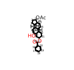 CC(=O)O[C@H]1CC[C@H]2[C@@H]3C=C[C@]4(O)C[C@@H](OC(=O)c5ccccc5)CC[C@]4(C)[C@H]3CC[C@]12C